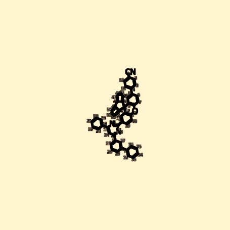 N#Cc1ccc(-c2ccc3c(c2)C2(c4cc(-c5nc(-c6ccccc6)cc(-c6cccc(-c7ccccc7)c6)n5)ccc4O3)c3ccccc3-c3ccccc32)cc1